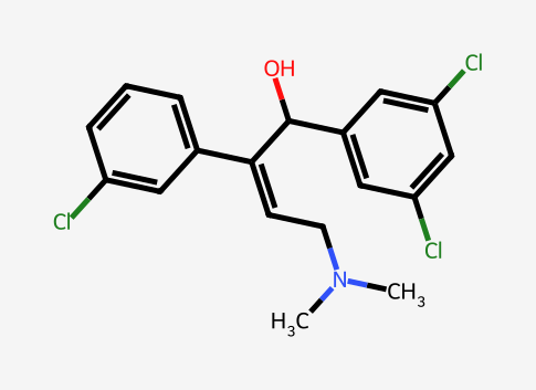 CN(C)CC=C(c1cccc(Cl)c1)C(O)c1cc(Cl)cc(Cl)c1